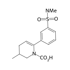 CNS(=O)(=O)c1cccc(C2=CCC(C)CN2C(=O)O)c1